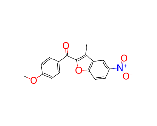 COc1ccc(C(=O)c2oc3ccc([N+](=O)[O-])cc3c2C)cc1